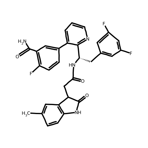 Cc1ccc2c(c1)C(CC(=O)N[C@@H](Cc1cc(F)cc(F)c1)c1ncccc1-c1ccc(F)c(C(N)=O)c1)C(=O)N2